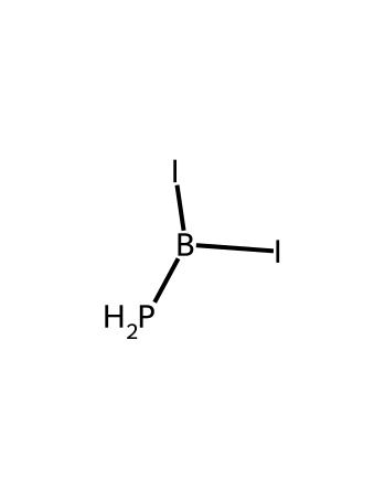 PB(I)I